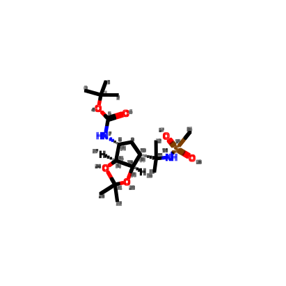 CC(C)(C)OC(=O)N[C@@H]1C[C@H](C(C)(C)NS(C)(=O)=O)[C@H]2OC(C)(C)O[C@H]21